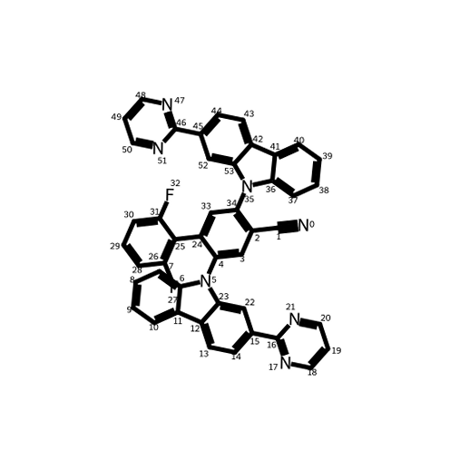 N#Cc1cc(-n2c3ccccc3c3ccc(-c4ncccn4)cc32)c(-c2c(F)cccc2F)cc1-n1c2ccccc2c2ccc(-c3ncccn3)cc21